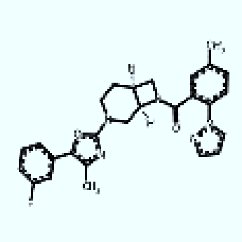 Cc1ccc(-n2cccn2)c(C(=O)N2C[C@@H]3CCN(c4nc(C)c(-c5cccc(F)c5)o4)C[C@@H]32)c1